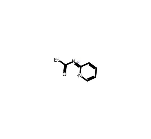 CCC(=O)/N=C1/C=CC=C[N]1